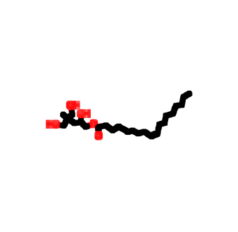 CCCCCCCC/C=C\CCCCCCCC(=O)OCC(O)CC(C)(CO)CO